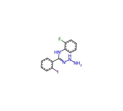 NN/N=C(\Nc1ccccc1F)c1ccccc1I